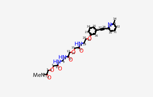 CNC(=O)COCC(=O)NCNC(=O)COCC(=O)NCCOc1cccc(C#Cc2cccc(C)n2)c1